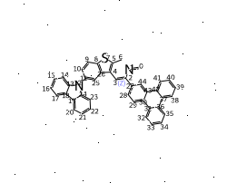 C=N/C(=C\c1c(C)sc2ccc(-n3c4ccccc4c4ccccc43)cc12)c1ccc2c3ccccc3c3ccccc3c2c1